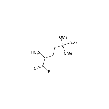 CCC(=O)C(CC[Si](OC)(OC)OC)S(=O)(=O)O